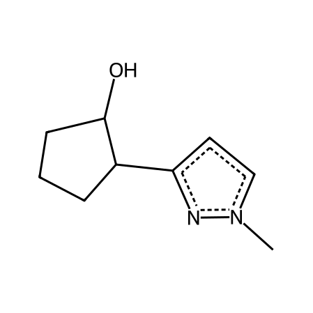 Cn1ccc(C2CCCC2O)n1